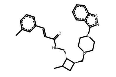 Cc1cccc(/C=C/C(=O)NC[C@H]2C(C)C[C@@H]2CN2CCN(c3nsc4ccccc34)CC2)c1